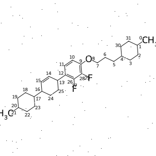 CC1CCC(CCCOc2ccc(C3C=CC(C4CCC(C)CC4)CC3)c(F)c2F)CC1